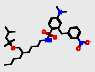 CCCCC(CCCCNS(=O)(=O)c1ccc(N(C)C)cc1Cc1cccc([N+](=O)[O-])c1)CO[Si](C)(C)CC(C)C